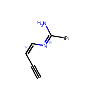 C#C/C=C\N=C(/N)C(C)C